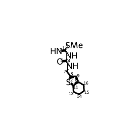 CSC(=N)NC(=O)NCc1cc2c(s1)CCCC2